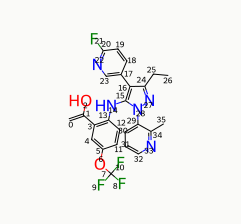 C=C(O)c1cc(OC(F)(F)F)ccc1Nc1c(-c2ccc(F)nc2)c(CC)nn1-c1cccnc1C